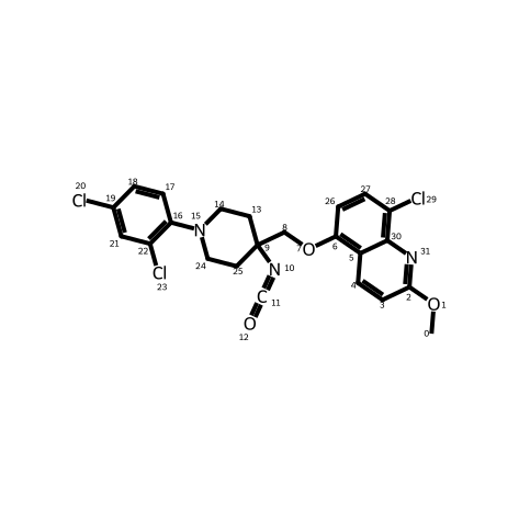 COc1ccc2c(OCC3(N=C=O)CCN(c4ccc(Cl)cc4Cl)CC3)ccc(Cl)c2n1